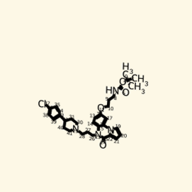 CC(C)(C)OC(=O)NCCCOc1ccc2c(c1)n1cccc1c(=O)n2CCCN1CCC(c2ccc(Cl)cc2)CC1